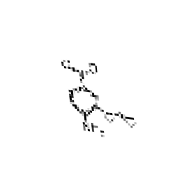 Nc1ccc([N+](=O)[O-])cc1OC=O